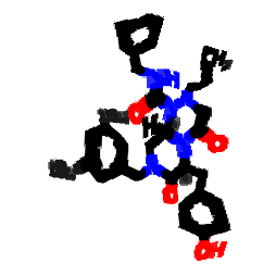 C=CCN1CC(=O)N2[C@@H](Cc3ccc(O)cc3)C(=O)N(Cc3cc(C(C)(C)C)cc(C(C)(C)C)c3)C[C@@H]2N1C(=O)NCc1ccccc1